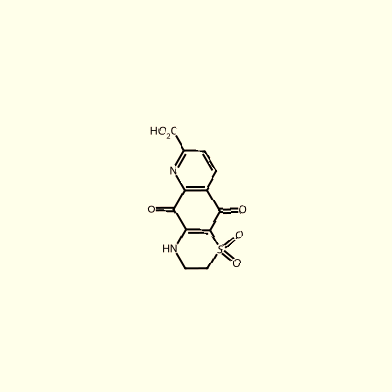 O=C(O)c1ccc2c(n1)C(=O)C1=C(C2=O)S(=O)(=O)CCN1